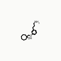 NCCCc1cccc(OCC2(O)CCCCCC2)c1